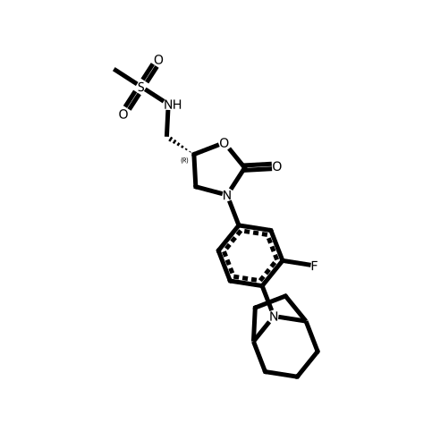 CS(=O)(=O)NC[C@H]1CN(c2ccc(N3C4CCCC3CC4)c(F)c2)C(=O)O1